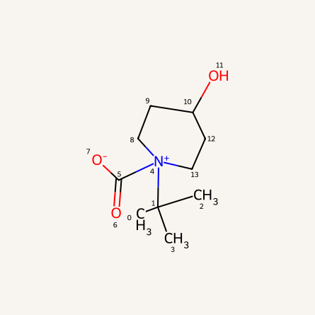 CC(C)(C)[N+]1(C(=O)[O-])CCC(O)CC1